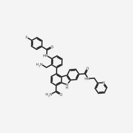 NCc1c(NC(=O)c2ccc(F)cc2)cccc1-c1ccc(C(N)=O)c2[nH]c3cc(C(=O)NCc4ccccn4)ccc3c12